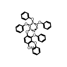 COc1ccc(Op2npn(Oc3ccccc3)p(Oc3ccccc3)n2Oc2ccccc2)c(Oc2ccccc2)c1Oc1ccccc1